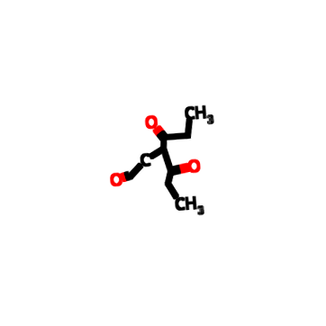 CCC(=O)C(CC=O)C(=O)CC